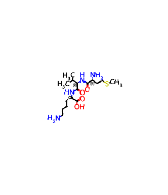 CSCC[C@@H](N)C(=O)N[C@@H](C(=O)N[C@@H](CCCCN)C(=O)O)C(C)C